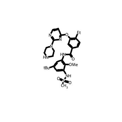 CCc1ccc(C(=O)Nc2cc(C(C)(C)C)cc(NS(C)(=O)=O)c2OC)cc1Oc1ccnc(N2CCNCC2)n1